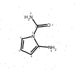 NC(=O)n1cccc1N